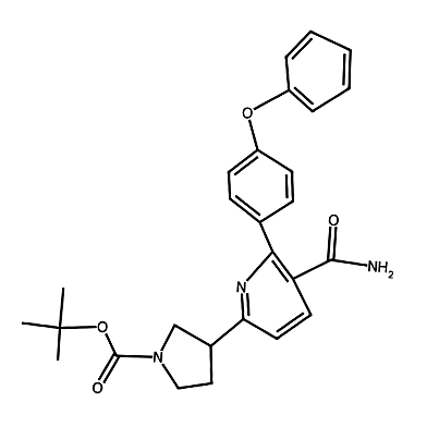 CC(C)(C)OC(=O)N1CCC(c2ccc(C(N)=O)c(-c3ccc(Oc4ccccc4)cc3)n2)C1